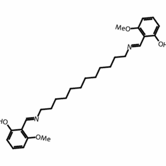 COc1cccc(O)c1C=NCCCCCCCCCCCCN=Cc1c(O)cccc1OC